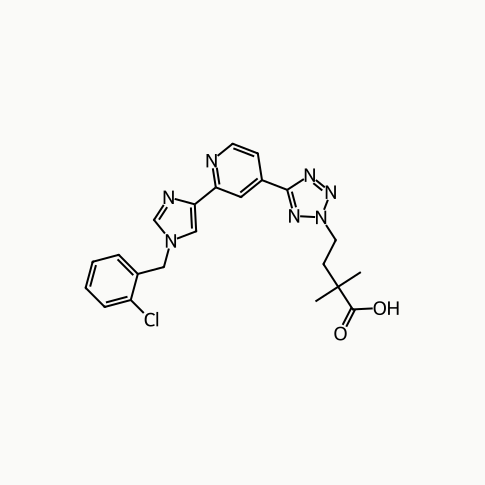 CC(C)(CCn1nnc(-c2ccnc(-c3cn(Cc4ccccc4Cl)cn3)c2)n1)C(=O)O